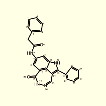 O=C(Cc1ccccc1)Nc1cc2c3c(c(-c4ccccc4)[nH]c3c1)C=NNC2=O